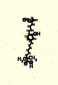 CC(C)(CCCCCCc1ccc(CCCCC2(OC=O)CC2)c(O)c1)C(=O)O